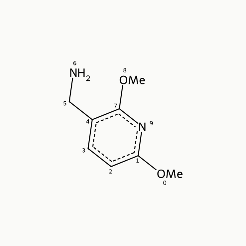 COc1ccc(CN)c(OC)n1